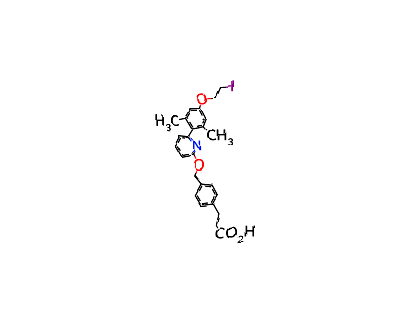 Cc1cc(OCCI)cc(C)c1-c1cccc(OCc2ccc(CCC(=O)O)cc2)n1